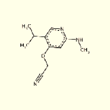 CNc1cc(OCC#N)c(C(C)C)cn1